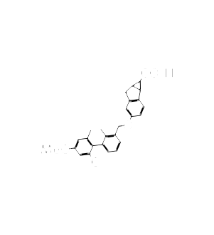 COc1cc(C)c(-c2cccc(COc3ccc4c(c3)CC3C(C(=O)O)C43)c2C)c(Cl)c1